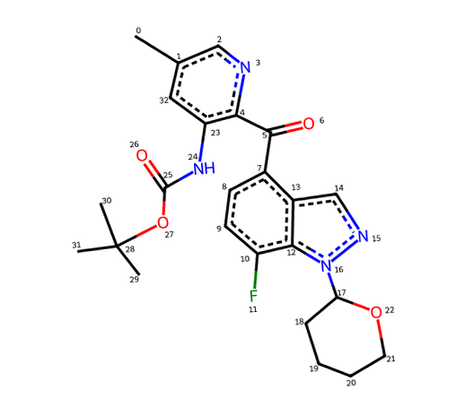 Cc1cnc(C(=O)c2ccc(F)c3c2cnn3C2CCCCO2)c(NC(=O)OC(C)(C)C)c1